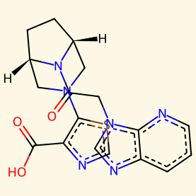 O=C(O)c1ncsc1N1C[C@H]2CC[C@@H](C1)N2C(=O)Cn1cnc2cccnc21